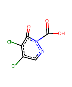 O=C(O)n1ncc(Cl)c(Cl)c1=O